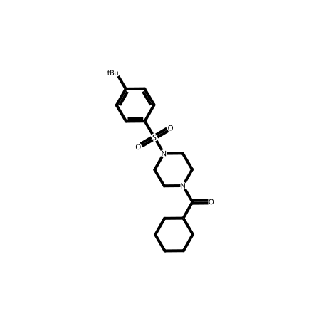 CC(C)(C)c1ccc(S(=O)(=O)N2CCN(C(=O)C3CCCCC3)CC2)cc1